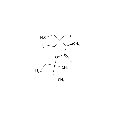 CCC(C)(CC)OC(=O)[C@H](C)C(C)(CC)CC